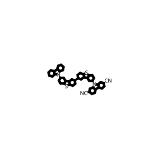 N#Cc1ccc2c3ccc(C#N)cc3n(-c3ccc4sc5ccc(-c6ccc7sc8ccc(-n9c%10ccccc%10c%10ccccc%109)cc8c7c6)cc5c4c3)c2c1